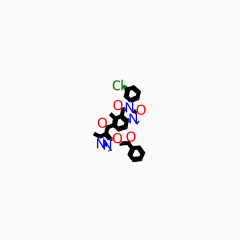 Cc1nn(C)c(OCC(=O)c2ccccc2)c1C(=O)c1ccc2c(c1C)c(=O)n(-c1cccc(Cl)c1)c(=O)n2C